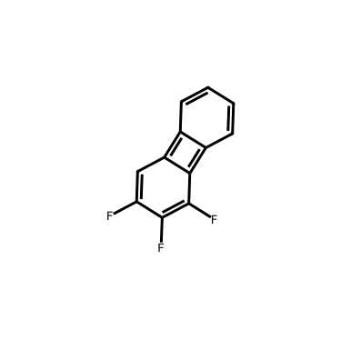 Fc1cc2c(c(F)c1F)=c1ccccc1=2